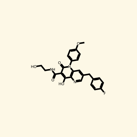 COc1ccc(-n2c(=O)c(C(=O)NCCO)c(O)c3ncc(Cc4ccc(F)cc4)cc32)cc1